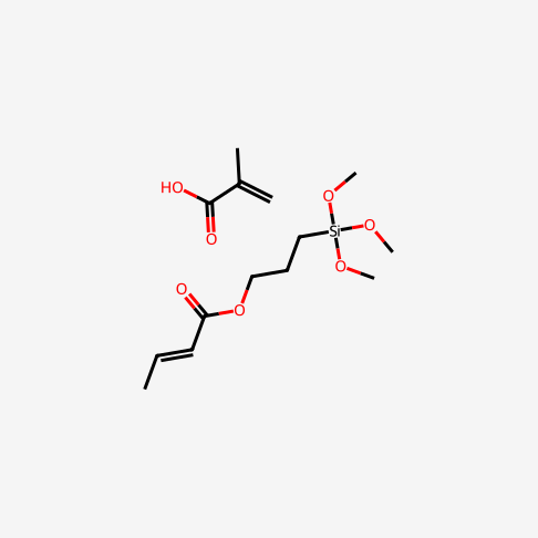 C=C(C)C(=O)O.CC=CC(=O)OCCC[Si](OC)(OC)OC